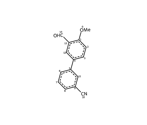 COc1ccc(-c2cccc(C#N)c2)cc1C=O